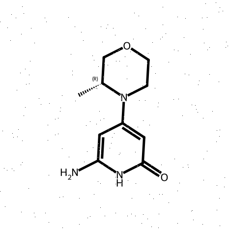 C[C@@H]1COCCN1c1cc(N)[nH]c(=O)c1